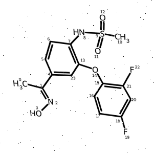 CC(=NO)c1ccc(NS(C)(=O)=O)c(Oc2ccc(F)cc2F)c1